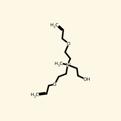 C=CCOCC[N+](C)(CCO)CCOCC=C